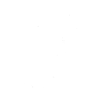 Nc1ncc2ccc(Cl)cc2c1C#Cc1ccc(C(=O)N2CCC(NC(=O)O)CC2)cc1